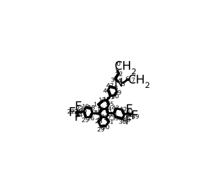 C=C/C=C/N(CC=C)c1ccc(-c2ccc3c(-c4ccc(C(F)(F)F)cc4)c4ccccc4c(-c4ccc(C(F)(F)F)cc4)c3c2)cc1